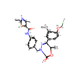 CCC1OC(=O)N(Cc2ccc(NC(=O)c3sc(C)nc3C)cc2)N=C1c1ccc(OCF)c(OC)c1